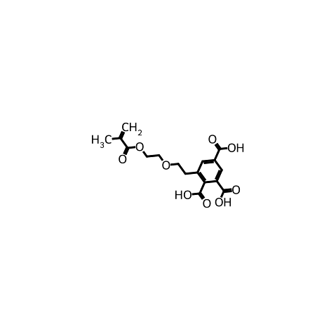 C=C(C)C(=O)OCCOCCc1cc(C(=O)O)cc(C(=O)O)c1C(=O)O